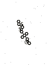 c1ccc2c(c1)ccc1c2sc2ccc3c4cc(-c5c6ccccc6c(-c6ccc7c(c6)oc6ccccc67)c6ccccc56)ccc4sc3c21